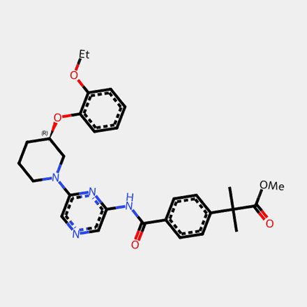 CCOc1ccccc1O[C@@H]1CCCN(c2cncc(NC(=O)c3ccc(C(C)(C)C(=O)OC)cc3)n2)C1